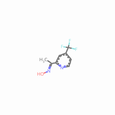 C/C(=N\O)c1cc(C(F)(F)F)ccn1